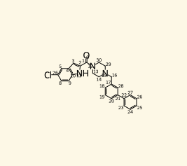 O=C(c1cc2cc(Cl)ccc2[nH]1)N1CCN(Cc2cccc(-c3ccccc3)c2)CC1